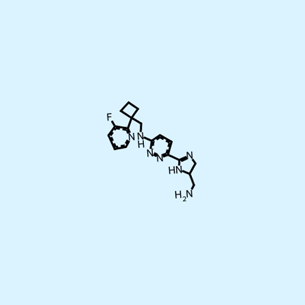 NCC1CN=C(c2ccc(NCC3(c4ncccc4F)CCC3)nn2)N1